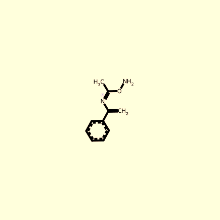 C=C(/N=C(/C)ON)c1ccccc1